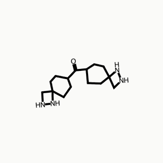 O=C(C1CCC2(CC1)CNN2)C1CCC2(CC1)CNN2